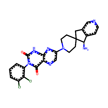 N[C@@H]1c2ccncc2CC12CCN(c1cnc3c(=O)n(-c4cccc(Cl)c4Cl)c(=O)[nH]c3n1)CC2